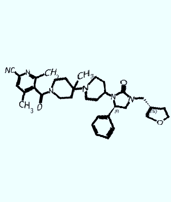 Cc1cc(C#N)nc(C)c1C(=O)N1CCC(C)(N2CCC(N3C(=O)N(C[C@@H]4CCOC4)C[C@H]3c3ccccc3)CC2)CC1